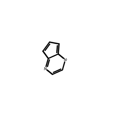 C1=CC2=NC=C[N]C2=C1